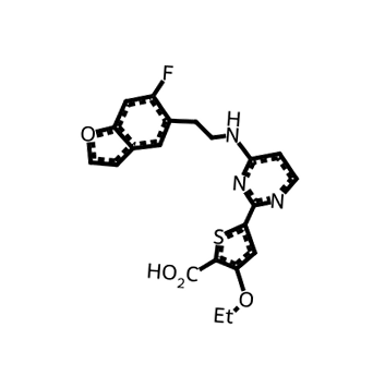 CCOc1cc(-c2nccc(NCCc3cc4ccoc4cc3F)n2)sc1C(=O)O